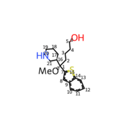 CO[C@](CCCCO)(c1cc2ccccc2s1)[C@@H]1CCCNC1